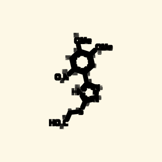 COc1cc(-c2nnc(SCC(=O)O)[nH]2)c([N+](=O)[O-])cc1OC